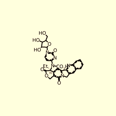 CC[C@@]1(N(C(=O)O)c2ccn(C3OC(CO)C(O)C3O)c(=O)n2)C(=O)OCc2c1cc1n(c2=O)Cc2cc3ccccc3nc2-1